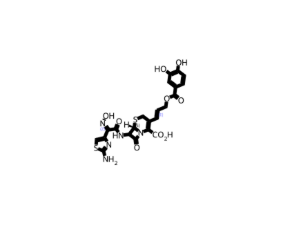 Nc1nc(/C(=N/O)C(=O)NC2C(=O)N3C(C(=O)O)=C(/C=C/COC(=O)c4ccc(O)c(O)c4)CS[C@@H]23)cs1